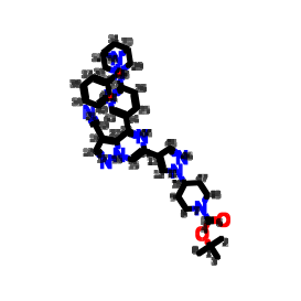 CC(C)(C)OC(=O)N1CCC(n2cc(-c3cn4ncc(C#N)c4c(-c4ccc(N5CC6CC(C5)N6Cc5ccccc5)nc4)n3)cn2)CC1